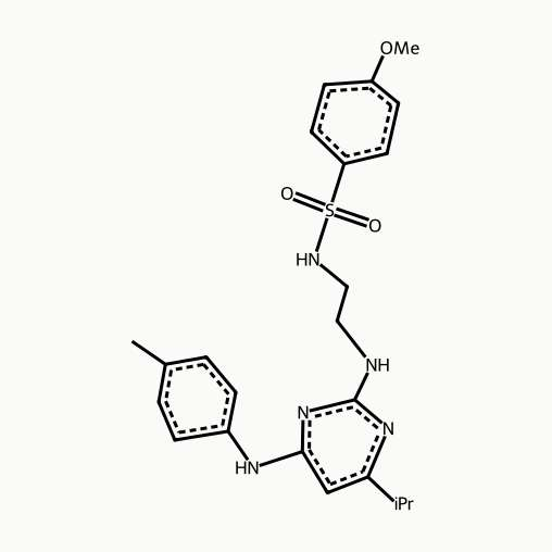 COc1ccc(S(=O)(=O)NCCNc2nc(Nc3ccc(C)cc3)cc(C(C)C)n2)cc1